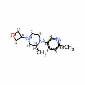 Cc1ccc(N2CCN(C3COC3)C[C@@H]2C)cn1